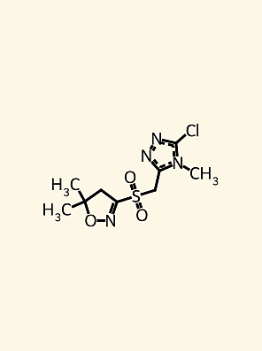 Cn1c(Cl)nnc1CS(=O)(=O)C1=NOC(C)(C)C1